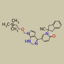 C[Si](C)(C)CCOCn1ccc2c1NCN=C2c1ccc(=O)n(C2(C#N)Cc3ccccc3C2)c1